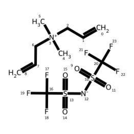 C=CC[N+](C)(C)CC=C.O=S(=O)([N-]S(=O)(=O)C(F)(F)F)C(F)(F)F